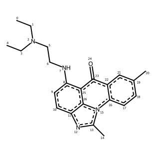 CCN(CC)CCNc1ccc2nc(C)n3c4ccc(C)cc4c(=O)c1c23